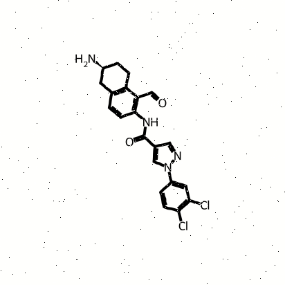 N[C@H]1CCc2c(ccc(NC(=O)c3cnn(-c4ccc(Cl)c(Cl)c4)c3)c2C=O)C1